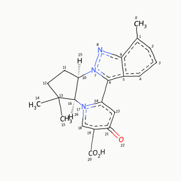 Cc1cccc2c3n(nc12)[C@@H]1CCC(C)(C)[C@@H]1n1cc(C(=O)O)c(=O)cc1-3